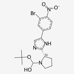 CC(C)(C)OC(O)N1CCC[C@H]1c1ncc(-c2ccc([N+](=O)[O-])c(Br)c2)[nH]1